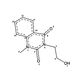 Cn1c(=O)n(CCO)c(=O)c2ccccc21